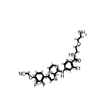 CCc1cc(Nc2nccn3c(-c4ccc(OCC#N)c(F)c4F)cnc23)ccc1C(=O)NCCOCCN